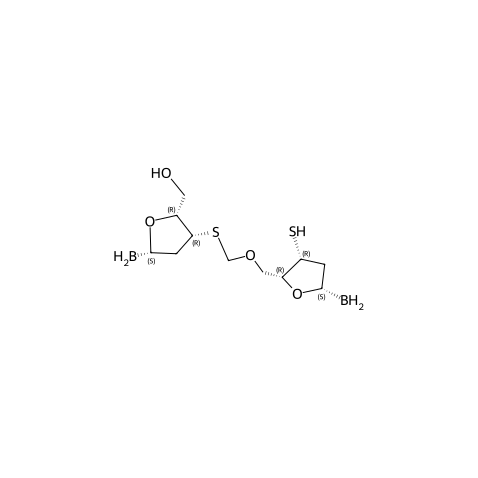 B[C@H]1C[C@@H](S)[C@@H](COCS[C@@H]2C[C@H](B)O[C@@H]2CO)O1